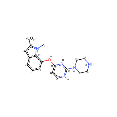 Cn1c(C(=O)O)cc2cccc(Oc3ccnc(N4CCNCC4)n3)c21